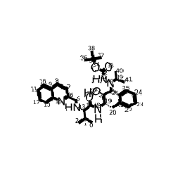 CC(C)[C@H](NCc1ccc2ccccc2n1)C(=O)N[C@@H](Cc1ccccc1)[C@H](O)CN(NC(=O)OC(C)(C)C)C(C)C